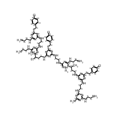 CCC(CCNc1nc(NCCNC(=N)/N=C(/NCCN)N(C)C(C)CCNc2nc(NCCNc3nc(N)nc(NCCN)n3)nc(SCc3ccc(Cl)cc3)n2)nc(SCc2ccc(Cl)cc2)n1)C(C)/N=C(\N=C(/N)NCCN)NCCNc1nc(NCCN)nc(SCc2ccc(Cl)cc2)n1